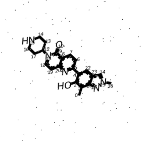 Cc1c(O)c(-c2ccc3c(=O)n(C4CCNCC4)ccc3n2)cc2cn(C)nc12